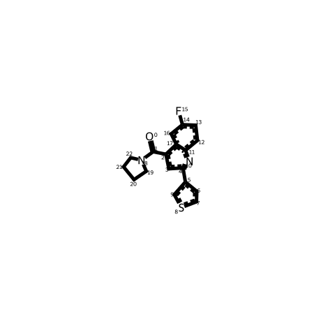 O=C(c1cc(-c2ccsc2)nc2ccc(F)cc12)N1CCCC1